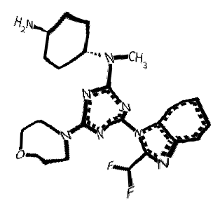 CN(c1nc(N2CCOCC2)nc(-n2c(C(F)F)nc3ccccc32)n1)[C@H]1CC[C@H](N)CC1